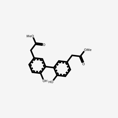 COC(=O)Cc1ccc(O)c(-c2cc(CC(=O)OC)ccc2O)c1